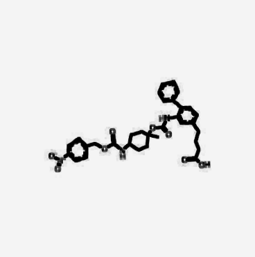 CC1(OC(=O)Nc2cc(CCCC(=O)O)ccc2-c2ccccc2)CCC(NC(=O)OCc2ccc([N+](=O)[O-])cc2)CC1